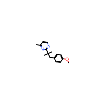 COc1ccc(CC(C)(C)c2nccc(C)n2)cc1